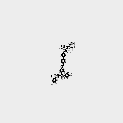 NC(Cc1ccc(-c2ccc(COc3ccc(C4C(CCC(O)c5ccc(F)cc5)C(=O)N4c4ccc(F)cc4)cc3)cc2)cc1)C(O)C(O)C(O)C(O)CO